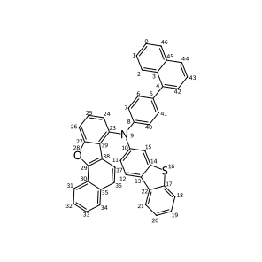 c1ccc2c(-c3ccc(N(c4ccc5c(c4)sc4ccccc45)c4cccc5oc6c7ccccc7ccc6c45)cc3)cccc2c1